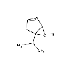 CC(C)C12CC=CC1O2.[Ti]